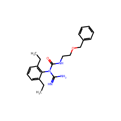 CCc1cccc(CC)c1N(C(=N)N)C(=O)NCCOCc1ccccc1